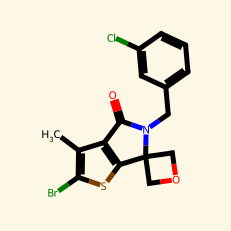 Cc1c(Br)sc2c1C(=O)N(Cc1cccc(Cl)c1)C21COC1